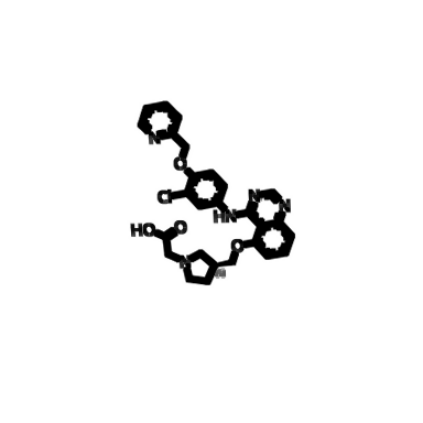 O=C(O)CN1CC[C@H](COc2cccc3ncnc(Nc4ccc(OCc5ccccn5)c(Cl)c4)c23)C1